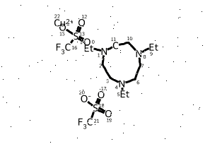 CCN1CCN(CC)CCN(CC)CC1.O=S(=O)([O-])C(F)(F)F.O=S(=O)([O-])C(F)(F)F.[Cu+2]